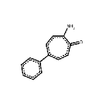 Nc1ccc(-c2ccccc2)ccc1=O